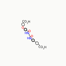 O=C(O)CC1CCC(c2ccc(NC(=O)CCNC(=O)c3ccc(O[C@H]4CC[C@H](C(=O)O)CC4)cc3)cc2)CC1